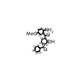 COc1ccc(N)c(C(=O)C2CCN(C(=O)c3ccccc3)CC2)c1.Cl